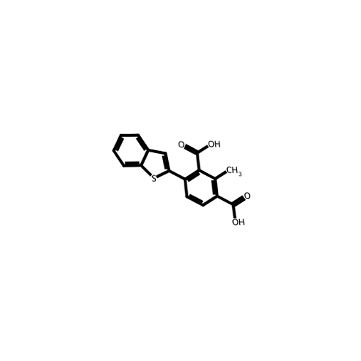 Cc1c(C(=O)O)ccc(-c2cc3ccccc3s2)c1C(=O)O